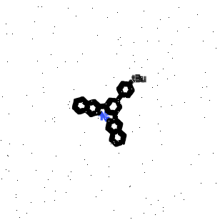 CC(C)(C)c1ccc(C2C=c3c4cc5ccccc5cc4n4c3c(c3cc5ccccc5cc34)C2)cc1